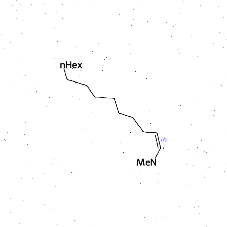 CCCCCCCCCCCCC/C=[C]\NC